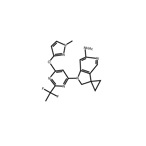 CC(=O)Nc1cc2c(cn1)C1(CC1)CN2c1cc(Oc2ccn(C)n2)nc(C(C)(F)F)n1